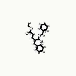 CCOC(=O)CCC(Cc1ccccc1)C(=O)OCc1ccccc1